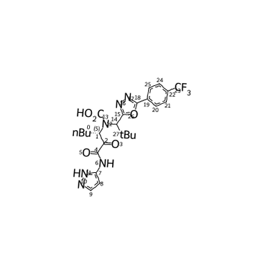 CCCC[C@@H](C(=O)C(=O)Nc1ccn[nH]1)N(C(=O)O)C(c1nnc(-c2ccc(C(F)(F)F)cc2)o1)C(C)(C)C